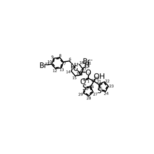 O=C(O[C@H]1C[N+]2(Cc3ccc(Br)cc3)CCC1CC2)C(O)(c1cccs1)c1cccs1.[Br-]